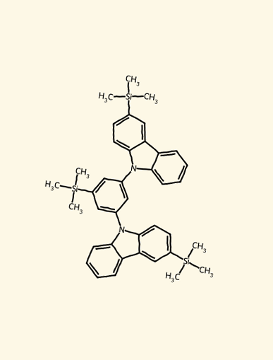 C[Si](C)(C)c1cc(-n2c3ccccc3c3cc([Si](C)(C)C)ccc32)cc(-n2c3ccccc3c3cc([Si](C)(C)C)ccc32)c1